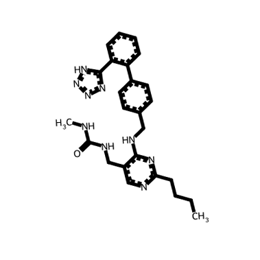 CCCCc1ncc(CNC(=O)NC)c(NCc2ccc(-c3ccccc3-c3nnn[nH]3)cc2)n1